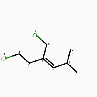 CC(C)C=C(CCl)CCCl